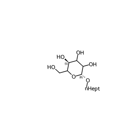 CCCCCCCO[C@@H]1OC(CO)[C@@H](O)C(O)C1O